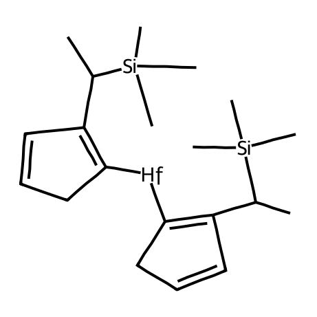 CC(C1=[C]([Hf][C]2=C(C(C)[Si](C)(C)C)C=CC2)CC=C1)[Si](C)(C)C